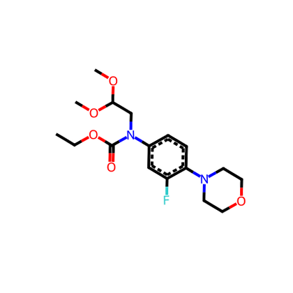 CCOC(=O)N(CC(OC)OC)c1ccc(N2CCOCC2)c(F)c1